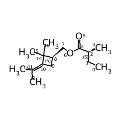 CC[C@H](C)C(=O)OC[C@H]1CC(=C(C)C)C1(C)C